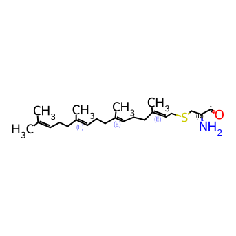 CC(C)=CCC/C(C)=C/CC/C(C)=C/CC/C(C)=C/CSC[C@H](N)[C]=O